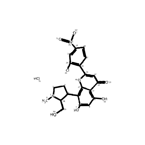 CN1CCC(c2c(O)cc(O)c3c(=O)cc(-c4ccc([N+](=O)[O-])cc4Cl)oc23)C1CO.Cl